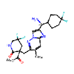 COC(=O)C1(Cc2nn3cc([C@@H](N)C4CCC(F)(F)CC4)nc3cc2OC)CC(F)(F)CNC1=O